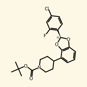 CC(C)(C)OC(=O)N1CCC(c2cccc3c2O[C@@H](c2ccc(Cl)cc2F)O3)CC1